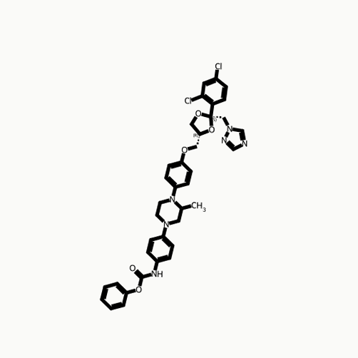 CC1CN(c2ccc(NC(=O)Oc3ccccc3)cc2)CCN1c1ccc(OC[C@@H]2CO[C@@](Cn3cncn3)(c3ccc(Cl)cc3Cl)O2)cc1